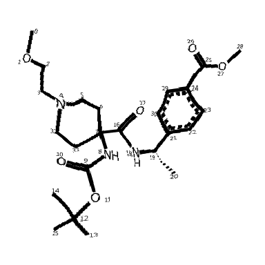 COCCN1CCC(NC(=O)OC(C)(C)C)(C(=O)N[C@@H](C)c2ccc(C(=O)OC)cc2)CC1